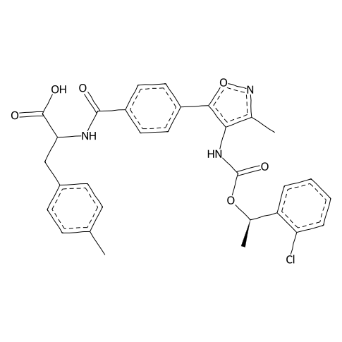 Cc1ccc(CC(NC(=O)c2ccc(-c3onc(C)c3NC(=O)O[C@H](C)c3ccccc3Cl)cc2)C(=O)O)cc1